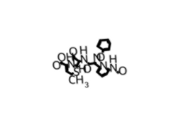 CC1C=C(C(=O)O)N2C(=O)C(NC(=O)C(=NOc3ccccc3)c3cccc(NC=O)n3)[C@@H]2S1